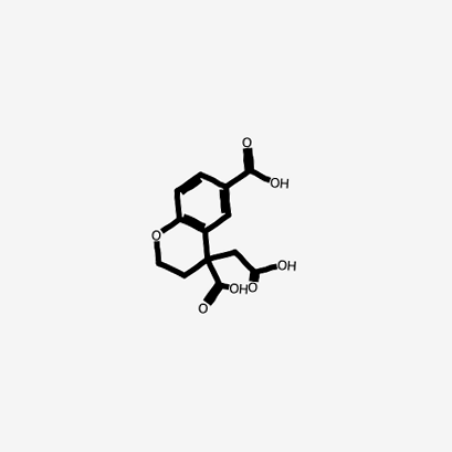 O=C(O)CC1(C(=O)O)CCOc2ccc(C(=O)O)cc21